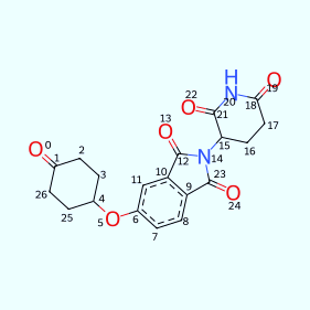 O=C1CCC(Oc2ccc3c(c2)C(=O)N(C2CCC(=O)NC2=O)C3=O)CC1